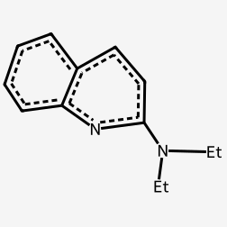 CCN(CC)c1ccc2ccccc2n1